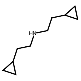 C(CC1CC1)NCCC1CC1